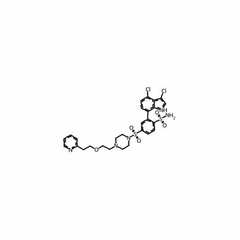 NS(=O)(=O)c1ccc(S(=O)(=O)N2CCN(CCOCCc3ccccn3)CC2)cc1-c1ccc(Cl)c2c(Cl)c[nH]c12